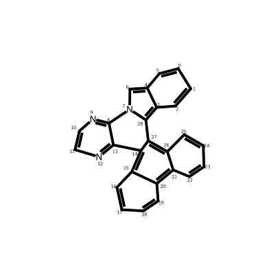 c1ccc2c(c1)cn1c3nccnc3c3c4ccccc4c4ccccc4c3c21